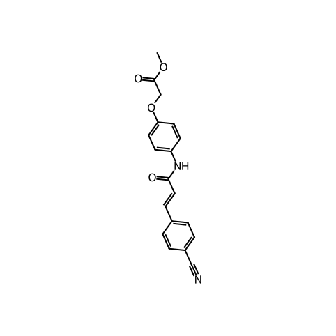 COC(=O)COc1ccc(NC(=O)C=Cc2ccc(C#N)cc2)cc1